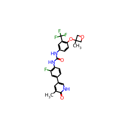 Cc1cc(-c2ccc(NC(=O)Nc3ccc(OC4(C)COC4)c(C(F)(F)F)c3)c(F)c2)c[nH]c1=O